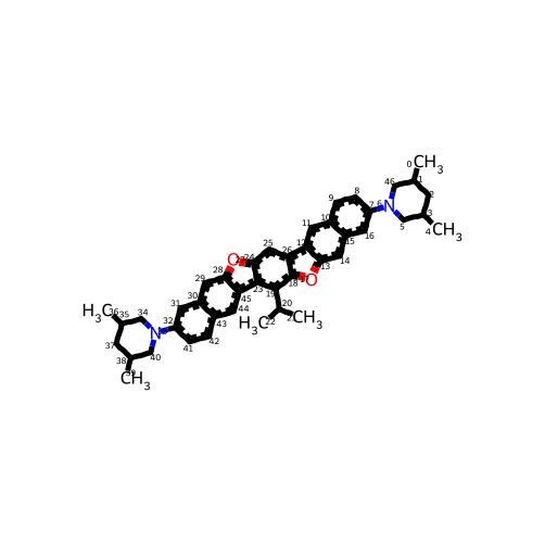 CC1CC(C)CN(c2ccc3cc4c(cc3c2)oc2c(C(C)C)c3c(cc24)oc2cc4cc(N5CC(C)CC(C)C5)ccc4cc23)C1